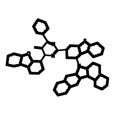 C=C1C(c2ccccc2)=NC(c2cc(-n3c4cc5ccccc5cc4c4c5ccccc5ccc43)c3c(c2)sc2ccccc23)=NC1c1cccc2c1oc1ccccc12